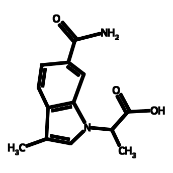 Cc1cn(C(C)C(=O)O)c2cc(C(N)=O)ccc12